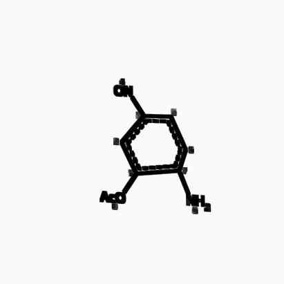 CC(=O)Oc1cc(N=O)ccc1N